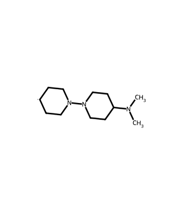 CN(C)C1CCN(N2CC[CH]CC2)CC1